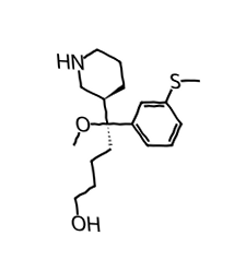 CO[C@](CCCCO)(c1cccc(SC)c1)[C@@H]1CCCNC1